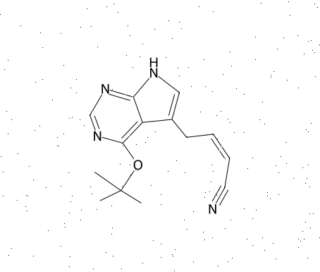 CC(C)(C)Oc1ncnc2[nH]cc(C/C=C\C#N)c12